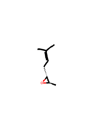 CC(C)=CC[C@H]1O[C@@H]1C